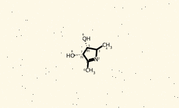 CC1=NC(C)[C@@H](O)[C@H]1O